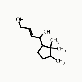 CC(C=CCO)C1CCC(C)C1(C)C